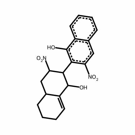 O=[N+]([O-])c1cc2ccccc2c(O)c1C1C(O)C2=CCCCC2CC1[N+](=O)[O-]